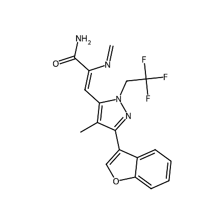 C=N/C(=C\c1c(C)c(-c2coc3ccccc23)nn1CC(F)(F)F)C(N)=O